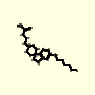 CCCCCCOc1ccc2c(c1)OCC21CCN(CCCC(=O)O)CC1